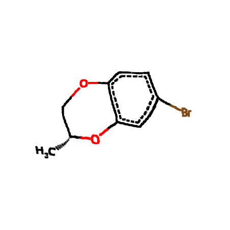 C[C@@H]1COc2ccc(Br)cc2O1